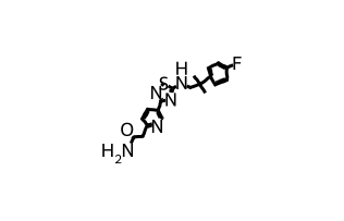 CC(C)(CNc1nc(-c2ccc(CC(N)=O)nc2)ns1)c1ccc(F)cc1